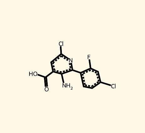 Nc1c(C(=O)O)cc(Cl)nc1-c1ccc(Cl)cc1F